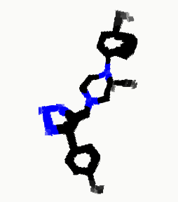 C[C@@H]1CN(Cc2n[nH]nc2-c2ccc(C#N)cc2)CCN1c1ccc(C(F)(F)F)cc1